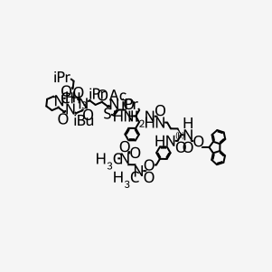 CCC(C)C(NC(=O)C1CCCCN1C)C(=O)N(COC(=O)CC(C)C)C(CC(OC(C)=O)c1nc(C(=O)NC(Cc2ccc(OC(=O)N(C)CCN(C)C(=O)OCc3ccc(NC(=O)[C@@H](CCCNC(N)=O)NC(=O)OCC4c5ccccc5-c5ccccc54)cc3)cc2)CC(C)C)cs1)C(C)C